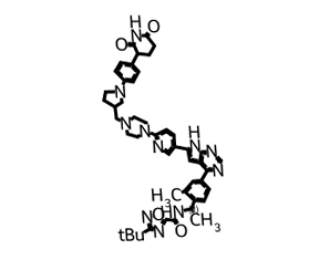 Cc1cc(-c2ncnc3[nH]c(-c4ccc(N5CCN(CC6CCN(c7ccc(C8CCC(=O)NC8=O)cc7)C6)CC5)nc4)cc23)ccc1[C@@H](C)NC(=O)c1nc(C(C)(C)C)no1